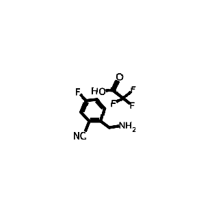 N#Cc1cc(F)ccc1CN.O=C(O)C(F)(F)F